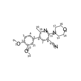 COc1ccc(-c2cc(C#N)c(N3CCOCC3)nc2C)cc1OC